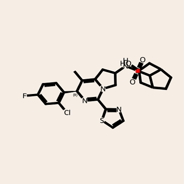 CC1=C2CC(NS(=O)(=O)C3C4CCC3CC(O)C4)CN2C(c2nccs2)=N[C@H]1c1ccc(F)cc1Cl